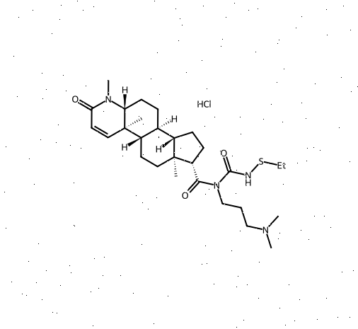 CCSNC(=O)N(CCCN(C)C)C(=O)[C@H]1CC[C@H]2[C@@H]3CC[C@H]4N(C)C(=O)C=C[C@]4(C)[C@H]3CC[C@]12C.Cl